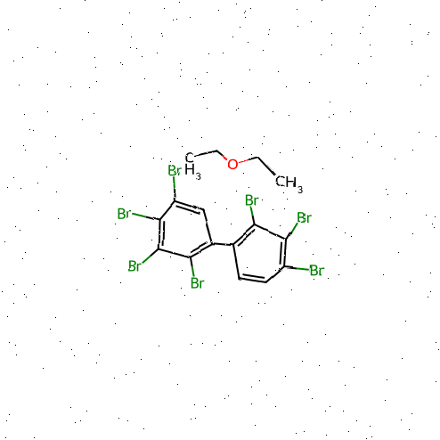 Brc1ccc(-c2cc(Br)c(Br)c(Br)c2Br)c(Br)c1Br.CCOCC